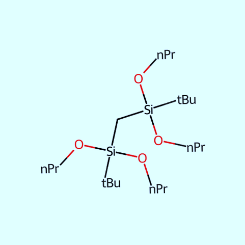 CCCO[Si](C[Si](OCCC)(OCCC)C(C)(C)C)(OCCC)C(C)(C)C